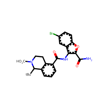 CC(C)(C)C1c2cccc(C(=O)Nc3c(C(N)=O)oc4ccc(Br)cc34)c2CCN1C(=O)O